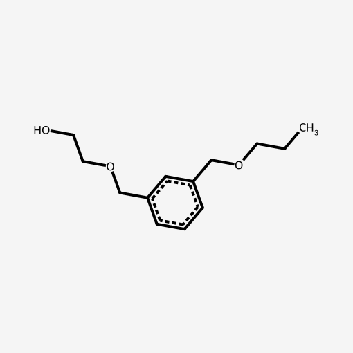 CCCOCc1cccc(COCCO)c1